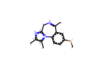 CSc1ccc2c(c1)C(C)=NCc1nc(C)c(C)n1-2